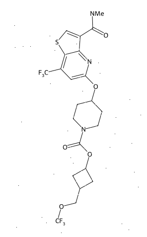 CNC(=O)c1csc2c(C(F)(F)F)cc(OC3CCN(C(=O)OC4CC(COC(F)(F)F)C4)CC3)nc12